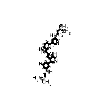 CN(C)CCNc1cc(F)cc(-c2cncc3[nH]c(-c4n[nH]c5ccc(-c6cncc(NC(=O)CN(C)C)c6)nc45)cc23)c1